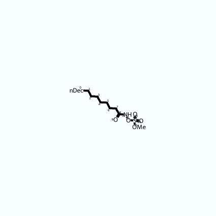 CCCCCCCCCCCCCCCCCC(=O)NOS(=O)(=O)OC